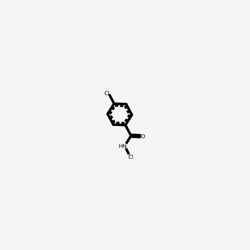 O=C(NCl)c1ccc(Cl)cc1